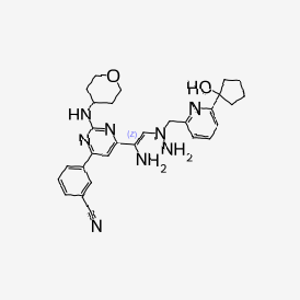 N#Cc1cccc(-c2cc(/C(N)=C/N(N)Cc3cccc(C4(O)CCCC4)n3)nc(NC3CCOCC3)n2)c1